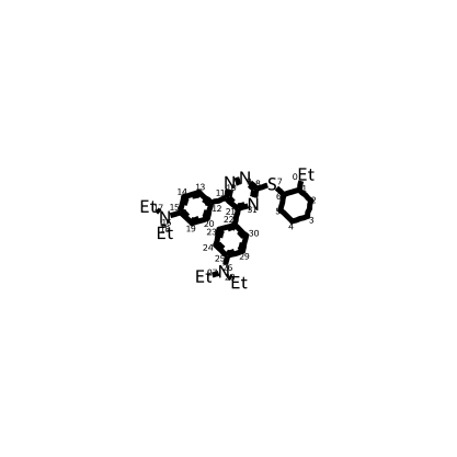 CCC1CCCCC1Sc1nnc(-c2ccc(N(CC)CC)cc2)c(-c2ccc(N(CC)CC)cc2)n1